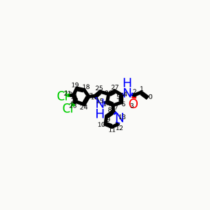 C=CC(=O)Nc1cc(-c2ccccn2)c2[nH]c(-c3ccc(Cl)c(Cl)c3)cc2c1